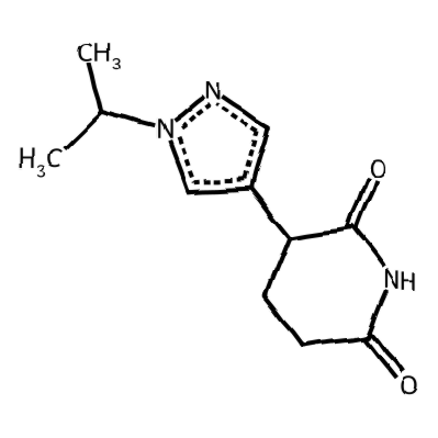 CC(C)n1cc(C2CCC(=O)NC2=O)cn1